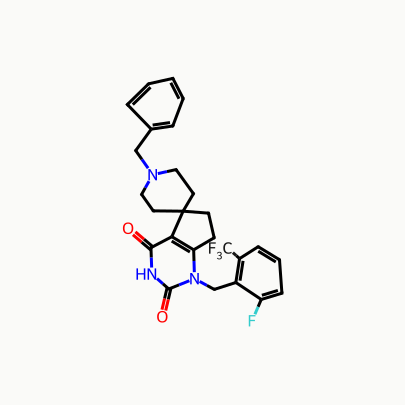 O=c1[nH]c(=O)n(Cc2c(F)cccc2C(F)(F)F)c2c1C1(CC2)CCN(Cc2ccccc2)CC1